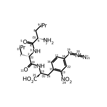 CC(C)C[C@H](NC(=O)[C@@H](N)CC(C)C)C(=O)N[C@@H](Cc1ccc(N=[N+]=[N-])cc1[N+](=O)[O-])C(=O)O